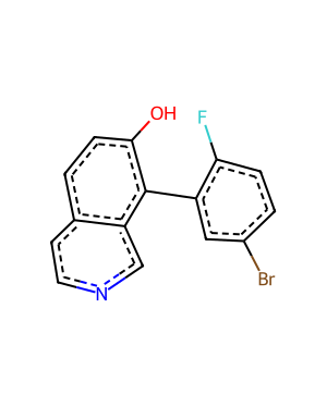 Oc1ccc2ccncc2c1-c1cc(Br)ccc1F